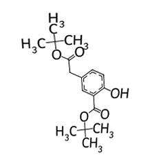 CC(C)(C)OC(=O)Cc1ccc(O)c(C(=O)OC(C)(C)C)c1